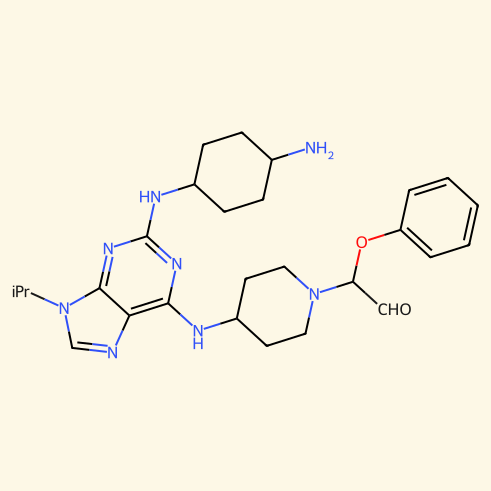 CC(C)n1cnc2c(NC3CCN(C(C=O)Oc4ccccc4)CC3)nc(NC3CCC(N)CC3)nc21